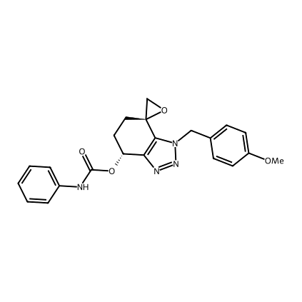 COc1ccc(Cn2nnc3c2[C@]2(CC[C@H]3OC(=O)Nc3ccccc3)CO2)cc1